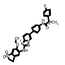 C[C@@H](C(=O)Nc1ccc(-c2ccc3nc(Nc4cc5c(cc4OCC(F)(F)F)S(=O)(=O)CC5)nn3c2)cc1)c1ccc(F)cc1